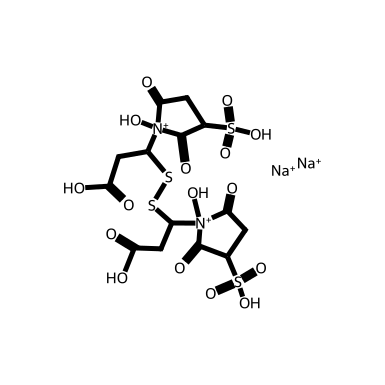 O=C(O)CC(SSC(CC(=O)O)[N+]1(O)C(=O)CC(S(=O)(=O)O)C1=O)[N+]1(O)C(=O)CC(S(=O)(=O)O)C1=O.[Na+].[Na+]